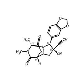 C#C[C@]1(C#N)CC2[C@H]3SS[C@@](C)(C(=O)N2[C@H]1c1ccc2c(c1)OCO2)N(C)C3=O